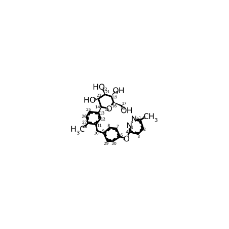 Cc1ccc(Oc2ccc(Cc3cc([C@@H]4O[C@H](CO)[C@@H](O)[C@H](O)[C@H]4O)ccc3C)cc2)nn1